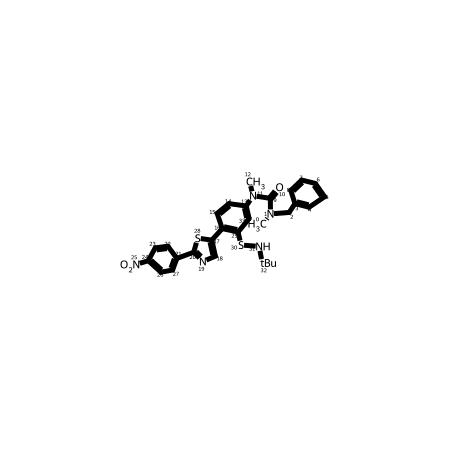 CN(Cc1ccccc1)C(=O)N(C)c1ccc(-c2cnc(-c3ccc([N+](=O)[O-])cc3)s2)c(SNC(C)(C)C)c1